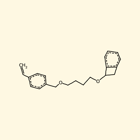 C=Cc1ccc(COCCCCOC2Cc3ccccc32)cc1